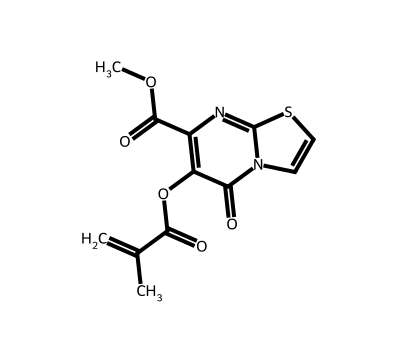 C=C(C)C(=O)Oc1c(C(=O)OC)nc2sccn2c1=O